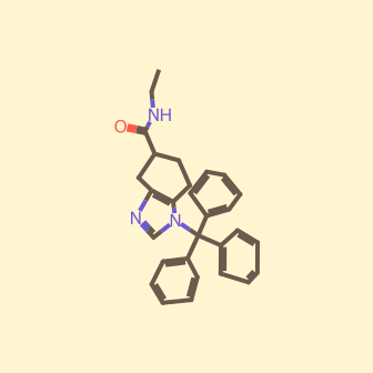 CCNC(=O)C1CCc2c(ncn2C(c2ccccc2)(c2ccccc2)c2ccccc2)C1